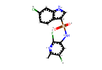 Cc1nc(F)c(NS(=O)(=O)c2c[nH]c3cc(Cl)ccc23)cc1F